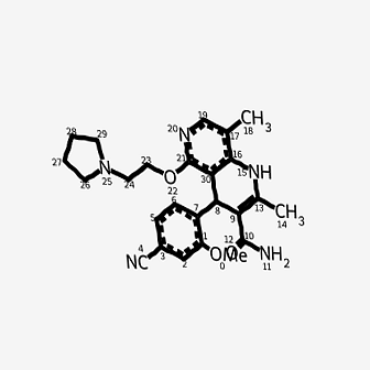 COc1cc(C#N)ccc1C1C(C(N)=O)=C(C)Nc2c(C)cnc(OCCN3CCCC3)c21